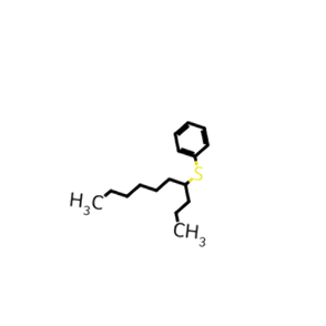 CCCCCCC(CCC)Sc1ccccc1